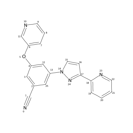 N#Cc1cc(Oc2cccnc2)cc(-n2ccc(-c3ccccn3)n2)c1